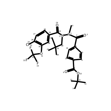 CN(C(=O)c1ccc(C(=O)OC(C)(C)C)cc1)N(CC(C)(C)C)C(=O)c1ccc(Cl)c(OC(F)(F)F)c1